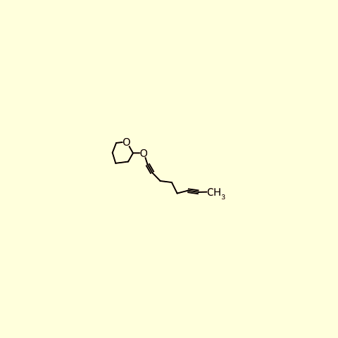 CC#CCCCC#COC1CCCCO1